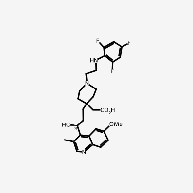 COc1ccc2ncc(C)c([C@@H](O)CCC3(CC(=O)O)CCN(CCNc4c(F)cc(F)cc4F)CC3)c2c1